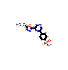 CC(C)S(=O)(=O)c1ccc(-c2cncc(-c3nnc(C(=O)O)o3)n2)cc1